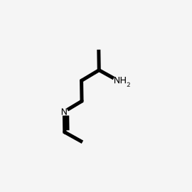 C/C=N\CCC(C)N